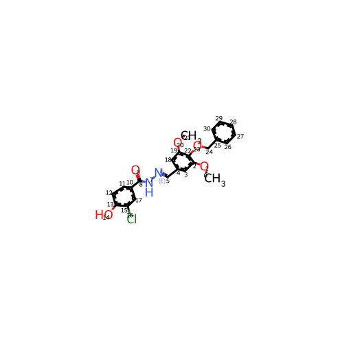 COc1cc(/C=N/NC(=O)c2ccc(O)c(Cl)c2)cc(OC)c1OCc1ccccc1